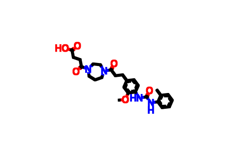 COc1cc(CCC(=O)N2CCCN(C(=O)CCC(=O)O)CC2)ccc1NC(=O)Nc1ccccc1C